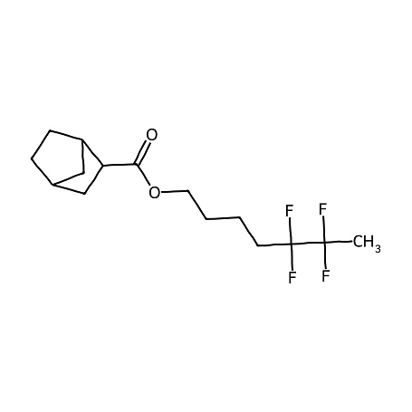 CC(F)(F)C(F)(F)CCCCOC(=O)C1CC2CCC1C2